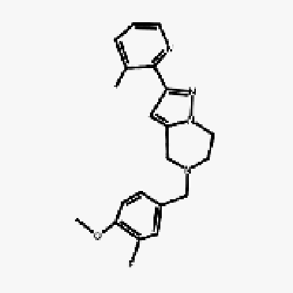 COc1ccc(CN2CCn3nc(-c4ncccc4C)cc3C2)cc1F